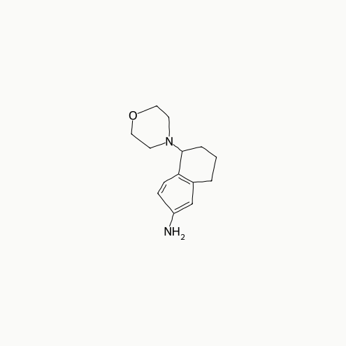 Nc1ccc2c(c1)CCCC2N1CCOCC1